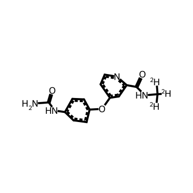 [2H]C([2H])([2H])NC(=O)c1cc(Oc2ccc(NC(N)=O)cc2)ccn1